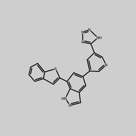 c1ccc2sc(-c3cc(-c4cncc(-c5nnn[nH]5)c4)cc4cn[nH]c34)cc2c1